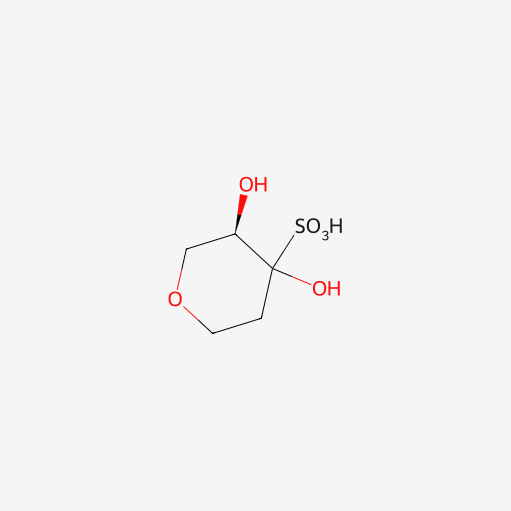 O=S(=O)(O)C1(O)CCOC[C@H]1O